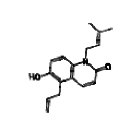 C=CCc1c(O)ccc2c1ccc(=O)n2CC=C(C)C